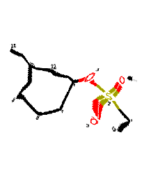 CCS(=O)(=O)OC1CCCC(C)C1